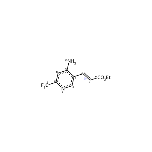 CCOC(=O)/C=C/c1cnc(C(F)(F)F)cc1N